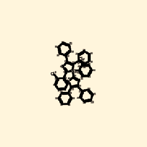 Clc1ccccc1C1=NC(c2ccccc2)=C(c2ccccc2)[N+]1(c1nc(-c2ccccc2)c(-c2ccccc2)[nH]1)c1ccccc1Cl